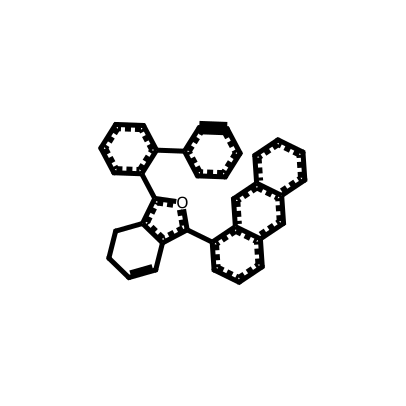 c1cccc(-c2ccccc2-c2oc(-c3cccc4cc5ccccc5cc34)c3c2CCC=C3)c#1